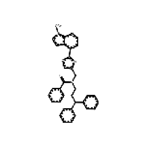 CC(=O)On1ccc2c(-c3nc(CN(CCC(c4ccccc4)c4ccccc4)C(=O)c4ccccc4)co3)cccc21